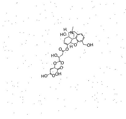 CN1CC[C@]23c4c5ccc(CO)c4O[C@H]2C(OC(=O)C[C@H](O)C(=O)O[C@H](CC(=O)O)C(=O)O)=CC[C@@]3(O)[C@H]1C5